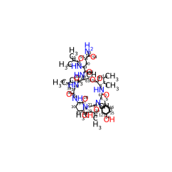 CCC(C)[C@@H]1NC(=O)[C@H](Cc2ccc(O)cc2)N(C)C(=O)[C@H](C(C)CC)N2C(=O)C(CC[C@@H]2O)NC(=O)[C@H](CC(C)C)NC(=O)[C@@H](NC(=O)[C@H](CCC(N)=O)NC(=O)C(C)C)[C@H](C)OC1=O